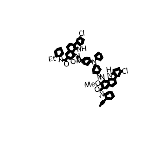 CC#Cc1ccccc1N(C)C(=O)c1cc2ccc3c4cc(Cl)ccc4[nH]c3c2c(N=Nc2ccc(N(c3ccccc3)c3ccc(N=Nc4c(OC)c(C(=O)N(C)c5ccccc5CC)cc5ccc6c7cc(Cl)ccc7[nH]c6c45)cc3)cc2)c1OC